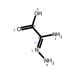 N/N=C(\N)C(=O)O